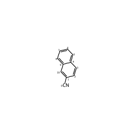 N#Cc1ccc2ccccc2c1